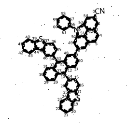 N#Cc1cc2ccc3cc(-c4ccc5c(-c6ccc7sc8ccccc8c7c6)c6ccccc6c(-c6ccc7sc8ccccc8c7c6)c5c4)cc4c3c2c(c1)n4-c1ccccc1